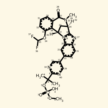 COP(=O)(O)OC(C)(C)c1ncc(-c2ccc3nc4n(c3c2)[C@H]2C[C@H]4N(C)C(=O)c3cccc(OC(F)F)c32)cn1